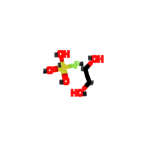 O=S(=O)(O)F.OCCO